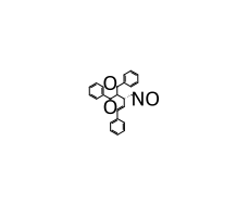 O=NC[C@H](/C=C/c1ccccc1)C(C(=O)c1ccccc1)C(=O)c1ccccc1